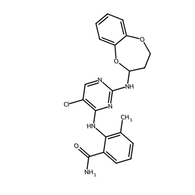 Cc1cccc(C(N)=O)c1Nc1nc(NC2CCOc3ccccc3O2)ncc1Cl